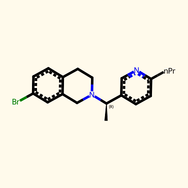 CCCc1ccc([C@@H](C)N2CCc3ccc(Br)cc3C2)cn1